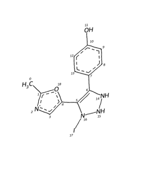 Cc1ncc(C2=C(c3ccc(O)cc3)NNN2I)o1